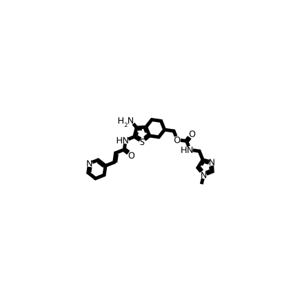 Cn1cnc(CNC(=O)OCC2CCc3c(sc(NC(=O)/C=C/C4=CN=CCC4)c3N)C2)c1